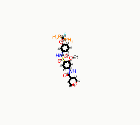 CCOc1cc(NC(=O)C2CCOCC2)ccc1S(=O)(=O)Nc1cccc(OC(F)(P)P)c1